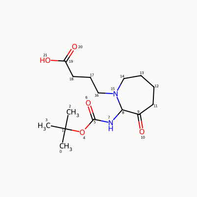 CC(C)(C)OC(=O)NC1C(=O)CCCCN1CCCC(=O)O